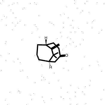 C=C1[C@@H]2CCC[C@H](CC(=O)CC2)C1(C)C